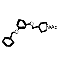 CC(=O)N1CCC(COc2cccc(OCc3ccccc3)c2)CC1